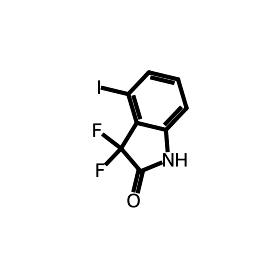 O=C1Nc2cccc(I)c2C1(F)F